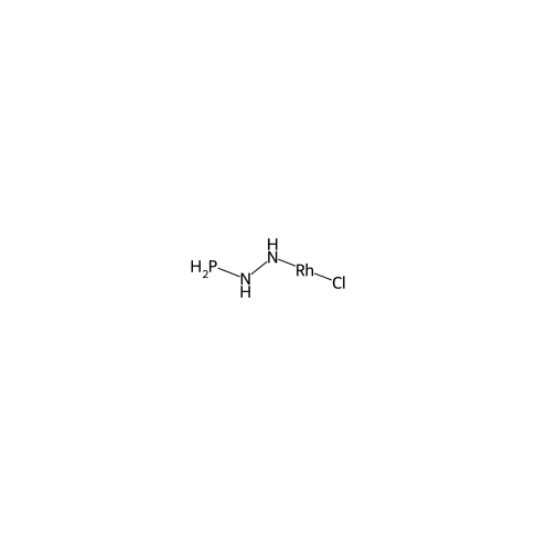 PN[NH][Rh][Cl]